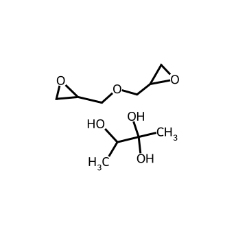 C(OCC1CO1)C1CO1.CC(O)C(C)(O)O